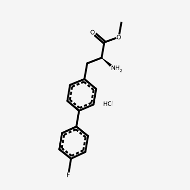 COC(=O)[C@@H](N)Cc1ccc(-c2ccc(F)cc2)cc1.Cl